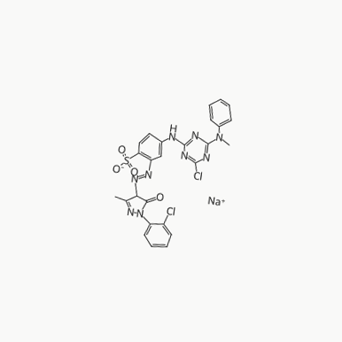 CC1=NN(c2ccccc2Cl)C(=O)C1N=Nc1cc(Nc2nc(Cl)nc(N(C)c3ccccc3)n2)ccc1S(=O)(=O)[O-].[Na+]